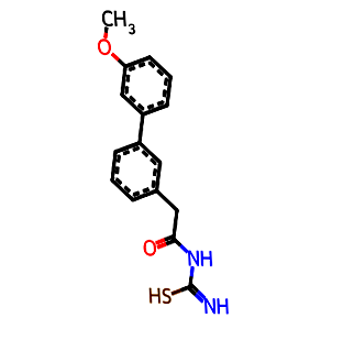 COc1cccc(-c2cccc(CC(=O)NC(=N)S)c2)c1